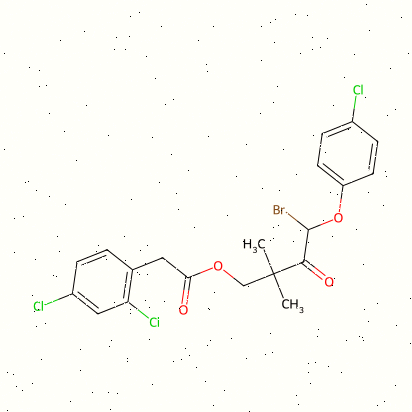 CC(C)(COC(=O)Cc1ccc(Cl)cc1Cl)C(=O)C(Br)Oc1ccc(Cl)cc1